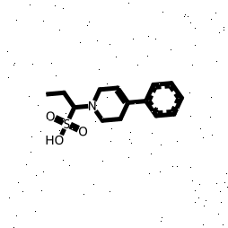 CCC(N1CC=C(c2ccccc2)CC1)S(=O)(=O)O